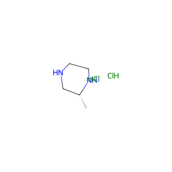 C[C@@H]1CNCCN1.Cl.Cl